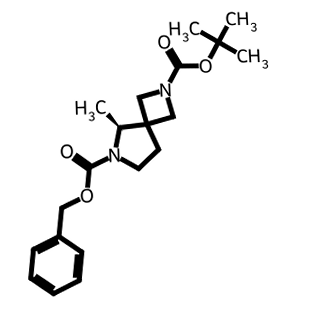 C[C@@H]1N(C(=O)OCc2ccccc2)CCC12CN(C(=O)OC(C)(C)C)C2